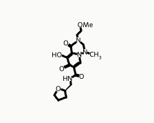 COCCN1CN(C)n2cc(C(=O)NC[C@H]3CCCO3)c(=O)c(O)c2C1=O